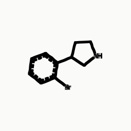 Brc1ccccc1C1CCNC1